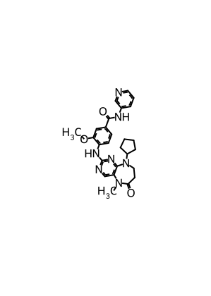 COc1cc(C(=O)Nc2cccnc2)ccc1Nc1ncc2c(n1)N(C1CCCC1)CCC(=O)N2C